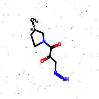 C[C@@H]1CCN(C(=O)C(=O)CN=N)C1